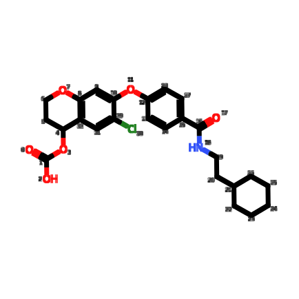 O=C(O)OC1CCOc2cc(Oc3ccc(C(=O)NCCC4CCCCC4)cc3)c(Cl)cc21